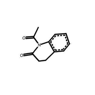 CC(=O)N1C(=O)CCc2c[c]ccc21